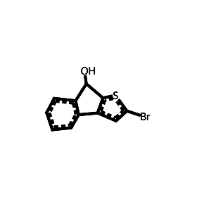 OC1c2ccccc2-c2cc(Br)sc21